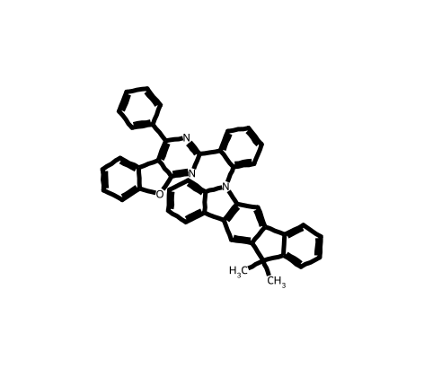 CC1(C)c2ccccc2-c2cc3c(cc21)c1ccccc1n3-c1ccccc1-c1nc(-c2ccccc2)c2c(n1)oc1ccccc12